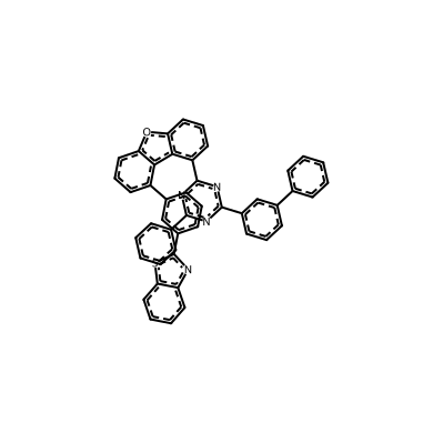 c1ccc(-c2cccc(-c3nc(-c4ccccc4)nc(-c4cccc5oc6cccc(-c7cccc(-c8nc9ccccc9s8)c7)c6c45)n3)c2)cc1